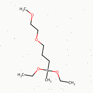 CCO[Si](C)(CCCOCCOC)OCC